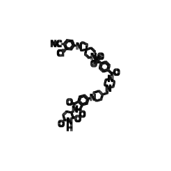 N#Cc1ccc(N2CCC3(CCN(S(=O)(=O)c4ccc(C(=O)N5CCN(CC6CCN(c7ccc8c(c7)C(=O)N(C7CCC(=O)NC7=O)C8=O)CC6)CC5)cc4)CC3)C2)cc1Cl